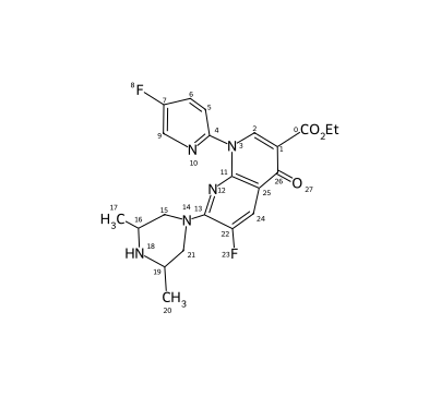 CCOC(=O)c1cn(-c2ccc(F)cn2)c2nc(N3CC(C)NC(C)C3)c(F)cc2c1=O